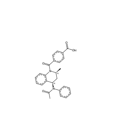 CC(=O)N(c1ccccc1)[C@@H]1C[C@H](C)N(C(=O)c2ccc(C(=O)O)cc2)c2ccccc21